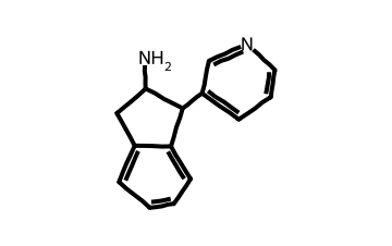 NC1Cc2ccccc2C1c1cccnc1